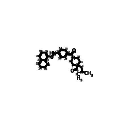 CC(C)CC1(C=O)CCN(C(=O)c2ccc(NSc3cccc4cccnc34)cc2)CC1